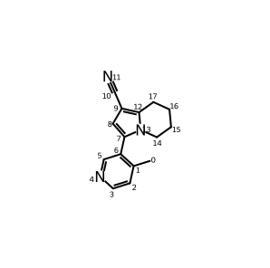 Cc1ccncc1-c1cc(C#N)c2n1CCCC2